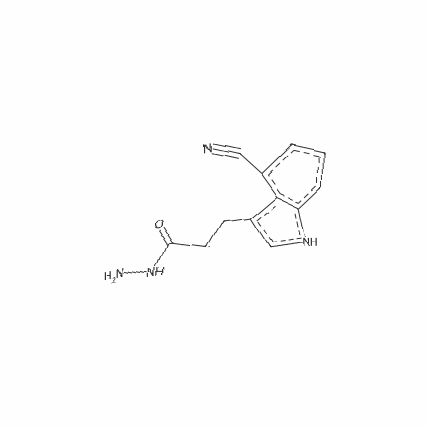 N#Cc1cccc2[nH]cc(C[CH]C(=O)NN)c12